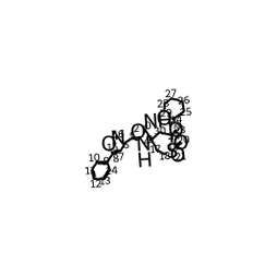 NC(=O)C1(NCc2cc(-c3ccccc3)on2)CCS(=O)(=O)C(OC2CCCCO2)C1